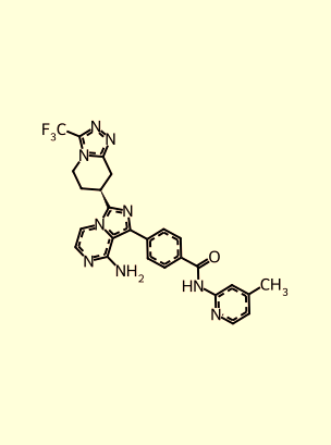 Cc1ccnc(NC(=O)c2ccc(-c3nc([C@H]4CCn5c(nnc5C(F)(F)F)C4)n4ccnc(N)c34)cc2)c1